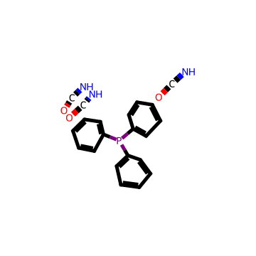 N=C=O.N=C=O.N=C=O.c1ccc(P(c2ccccc2)c2ccccc2)cc1